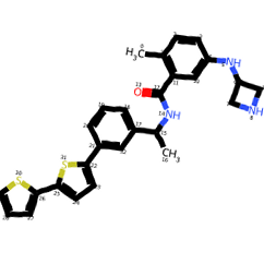 Cc1ccc(NC2CNC2)cc1C(=O)NC(C)c1cccc(-c2ccc(-c3cccs3)s2)c1